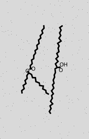 CCCCCCCCCCCCCCCCCC(=O)OC(CCCCCCCC)CCCCCCCCCCC.CCCCCCCCCCCCCCCCCCC(CCCCCCCCCCCCCCCC)C(=O)O